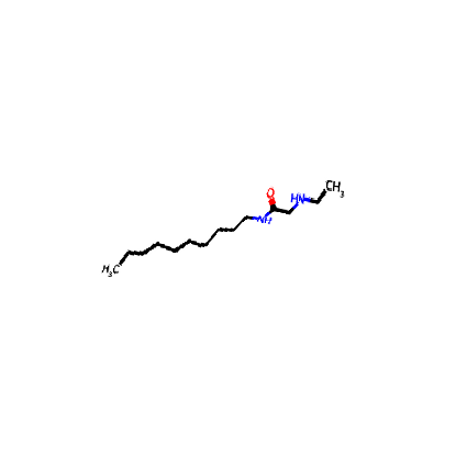 CCCCCCCCCCNC(=O)CNCC